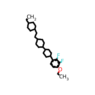 C=CC1CCC(CCC2CCC(C3CCC(c4ccc(OCC)c(F)c4F)CC3)CC2)CC1